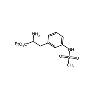 CCOC(=O)C(N)Cc1cccc(NS(C)(=O)=O)c1